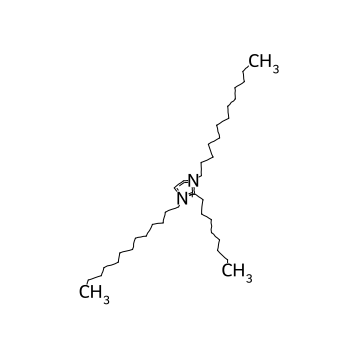 CCCCCCCCCCCCCn1cc[n+](CCCCCCCCCCCCC)c1CCCCCCCC